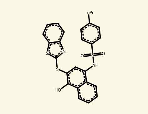 CCCc1ccc(S(=O)(=O)Nc2cc(Sc3nc4ccccc4s3)c(O)c3ccccc23)cc1